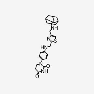 O=C1CCN(c2ccc(NCc3nc(CNC45CC6CC(CC(C6)C4)C5)cs3)cc2)C(=O)N1